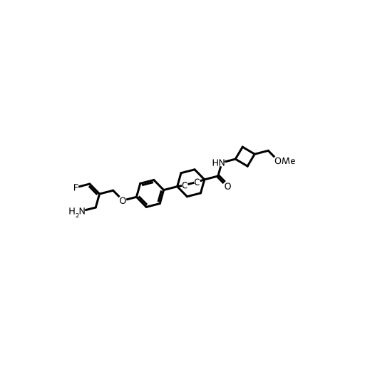 COCC1CC(NC(=O)C23CCC(c4ccc(OC/C(=C/F)CN)cc4)(CC2)CC3)C1